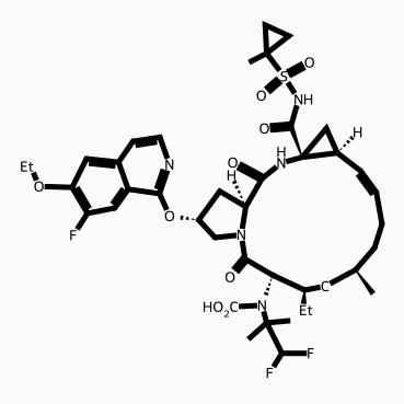 CCOc1cc2ccnc(O[C@@H]3C[C@H]4C(=O)N[C@]5(C(=O)NS(=O)(=O)C6(C)CC6)C[C@H]5/C=C\CC[C@@H](C)C[C@@H](CC)[C@H](N(C(=O)O)C(C)(C)C(F)F)C(=O)N4C3)c2cc1F